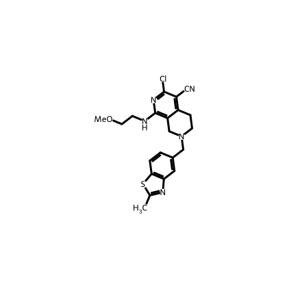 COCCNc1nc(Cl)c(C#N)c2c1CN(Cc1ccc3sc(C)nc3c1)CC2